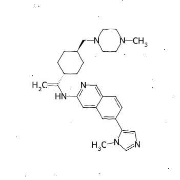 C=C(Nc1cc2cc(-c3cncn3C)ccc2cn1)[C@H]1CC[C@H](CN2CCN(C)CC2)CC1